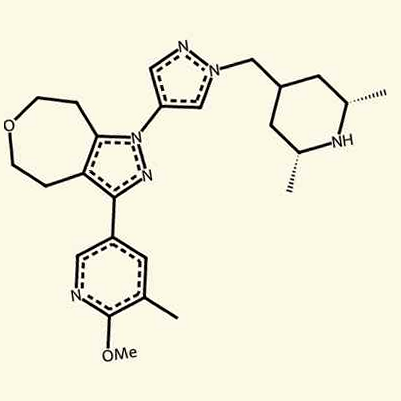 COc1ncc(-c2nn(-c3cnn(CC4C[C@@H](C)N[C@@H](C)C4)c3)c3c2CCOCC3)cc1C